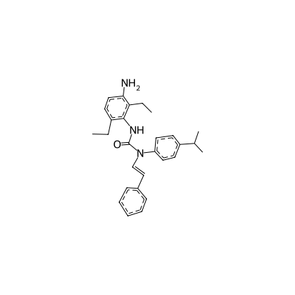 CCc1ccc(N)c(CC)c1NC(=O)N(C=Cc1ccccc1)c1ccc(C(C)C)cc1